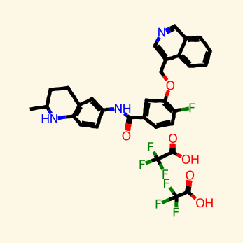 CC1CCc2cc(NC(=O)c3ccc(F)c(OCc4cncc5ccccc45)c3)ccc2N1.O=C(O)C(F)(F)F.O=C(O)C(F)(F)F